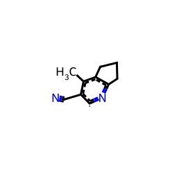 Cc1c(C#N)[c]nc2c1CCC2